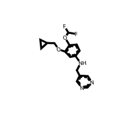 FC(F)Oc1ccc(NCc2cncnc2)cc1OCC1CC1